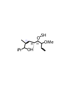 C=CC(OC)[C@@H](OS)[C@H](C)/C=C(/C)C(O)C(C)C